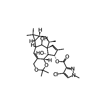 CC1=C[C@]23C(O)[C@@H](C=C4COC(C)(C)O[C@H]4[C@]2(O)[C@H]1OC(=O)c1nn(C)cc1Cl)[C@H]1[C@@H](C[C@H]3C)C1(C)C